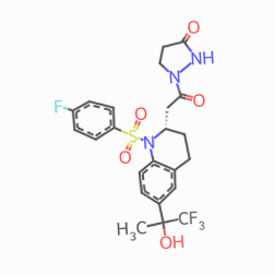 CC(O)(c1ccc2c(c1)CC[C@@H](CC(=O)N1CCC(=O)N1)N2S(=O)(=O)c1ccc(F)cc1)C(F)(F)F